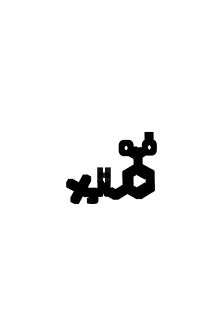 COC(=O)c1cccc(CNSC(C)(C)C)c1